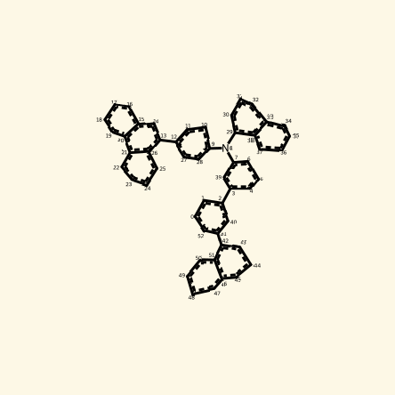 c1cc(-c2cccc(N(c3ccc(-c4cc5ccccc5c5ccccc45)cc3)c3cccc4ccccc34)c2)cc(-c2cccc3ccccc23)c1